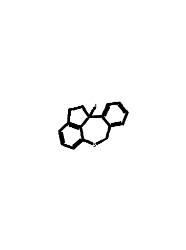 IC12CCc3cccc(c31)SCc1ccccc12